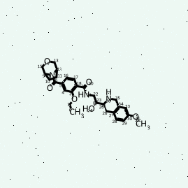 CCOc1cc(C(=O)N2C3CCC2COC3)ccc1C(=O)NC[C@@H](O)[C@@H]1Cc2ccc(OC)cc2CN1